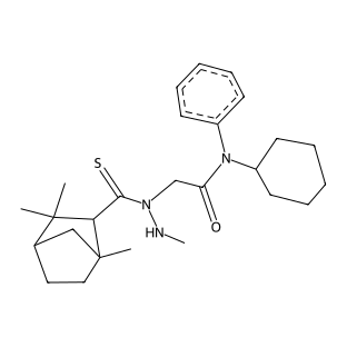 CNN(CC(=O)N(c1ccccc1)C1CCCCC1)C(=S)C1C2(C)CCC(C2)C1(C)C